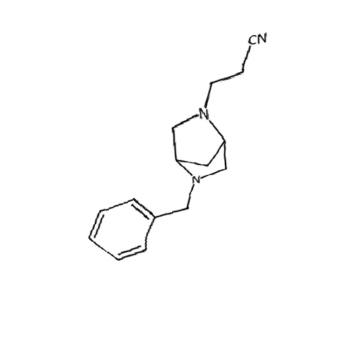 N#CCCN1CC2CC1CN2Cc1ccccc1